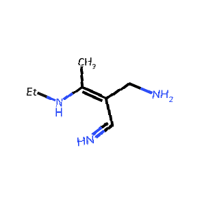 CCN/C(C)=C(\C=N)CN